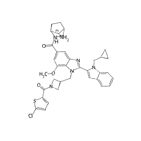 COc1cc(C(=O)N2CC3CCC2[C@@H]3N)cc2nc(-c3cc4ccccc4n3CC3CC3)n(CC3CN(C(=O)c4ccc(Cl)s4)C3)c12